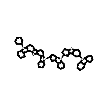 c1ccc(-n2c3ccccc3c3c4oc5c(ccc6c5c5ccccc5n6-c5ccc6c(c5)c5ccccc5n6-c5ccc6oc7ccc(-n8c9ccccc9c9ccccc98)cc7c6c5)c4ccc32)cc1